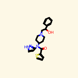 O=C(c1cccs1)N(c1cc[nH]n1)C1CCN(CC(O)c2ccccc2)CC1